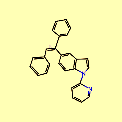 C(=C(\c1ccccc1)c1ccc2c(ccn2-c2ccccn2)c1)/c1ccccc1